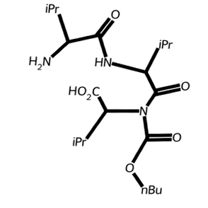 CCCCOC(=O)N(C(=O)C(NC(=O)C(N)C(C)C)C(C)C)C(C(=O)O)C(C)C